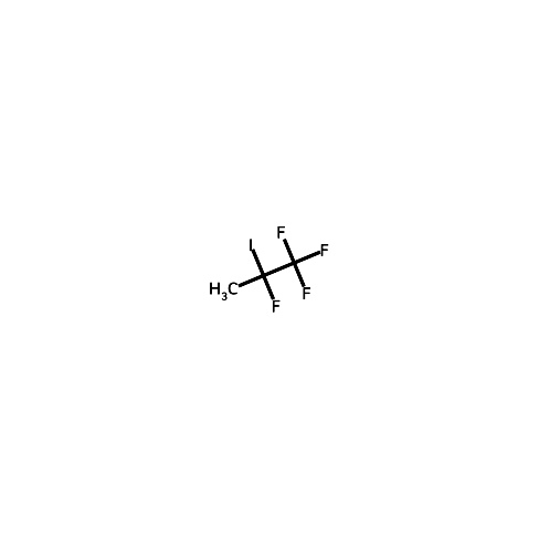 CC(F)(I)C(F)(F)F